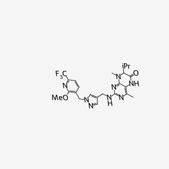 COc1nc(C(F)(F)F)ccc1Cn1cc(CNc2nc(C)c3c(n2)N(C)C(C(C)C)C(=O)N3)cn1